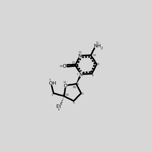 CC[C@@]1(CO)CC[C@H](n2ccc(N)nc2=O)O1